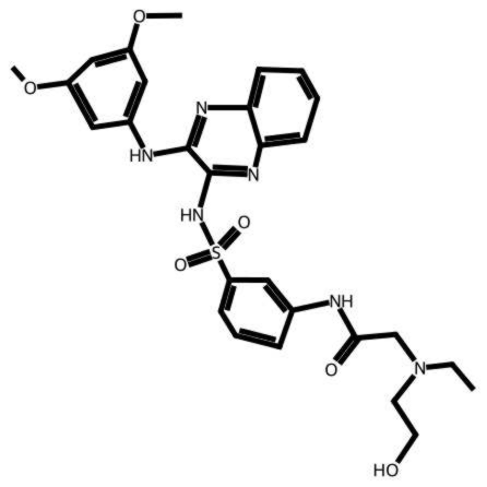 CCN(CCO)CC(=O)Nc1cccc(S(=O)(=O)Nc2nc3ccccc3nc2Nc2cc(OC)cc(OC)c2)c1